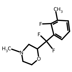 Cc1cccc(C(F)(F)C2CN(C)CCO2)c1F